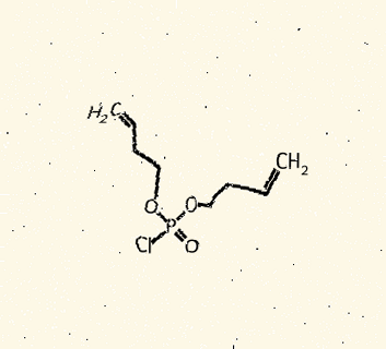 C=CCCOP(=O)(Cl)OCCC=C